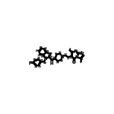 Cc1nc2scc(C)n2c(=O)c1CCN1CCC(Nc2nc3ccccc3n2Cc2ccc(F)cc2)CC1